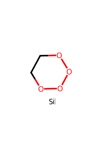 C1COOOO1.[Si]